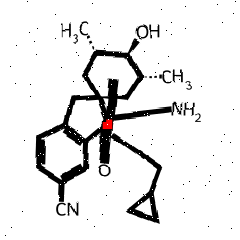 C[C@@H]1C[C@@]2(Cc3ccc(C#N)cc3[C@]23N=C(N)N(CC2CC2)C3=O)C[C@H](C)[C@H]1O